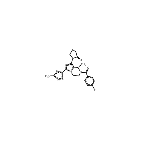 Cc1nsc(-c2nc([C@H]3CCCC3=O)c3n2CCN(C(=O)c2ccc(F)cc2)[C@@H]3C)n1